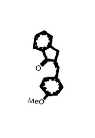 COc1ccc(C=C2Cc3ccccc3C2=O)cc1